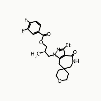 CCc1nn(C[C@@H](C)COC(=O)c2ccc(F)c(F)c2)c2c1C(=O)NCC1(CCOCC1)C2